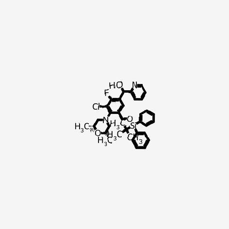 C[C@@H]1CN(c2c(CO[Si](c3ccccc3)(c3ccccc3)C(C)(C)C)cc(C(O)c3ccccn3)c(F)c2Cl)C[C@H](C)O1